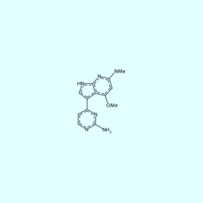 CNc1cc(OC)c2c(-c3ccnc(N)n3)c[nH]c2n1